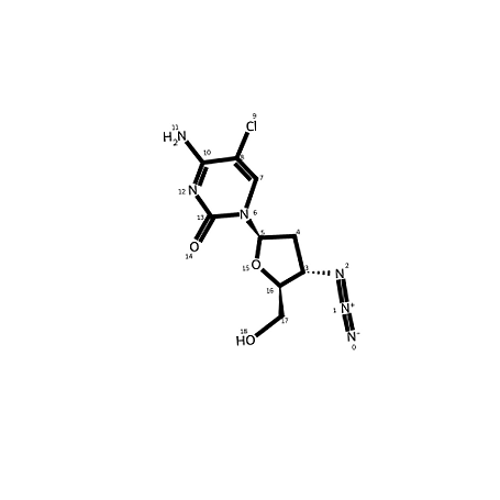 [N-]=[N+]=N[C@H]1C[C@H](n2cc(Cl)c(N)nc2=O)O[C@@H]1CO